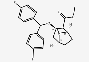 COC(=O)C1[C@H]2CC[C@@H](C[C@H]1OC(c1ccc(F)cc1)c1ccc(F)cc1)N2C